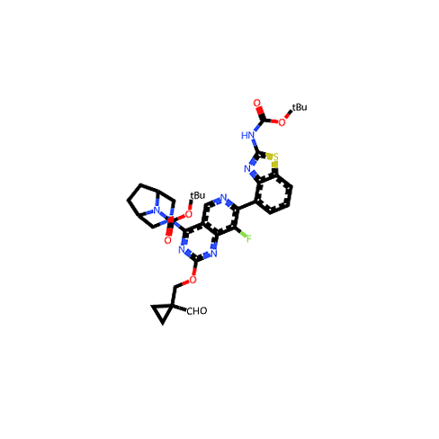 CC(C)(C)OC(=O)Nc1nc2c(-c3ncc4c(N5CC6CCC(C5)N6C(=O)OC(C)(C)C)nc(OCC5(C=O)CC5)nc4c3F)cccc2s1